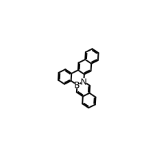 C1=c2ccccc2=CN2B1c1ccccc1-c1cc3ccccc3cc12